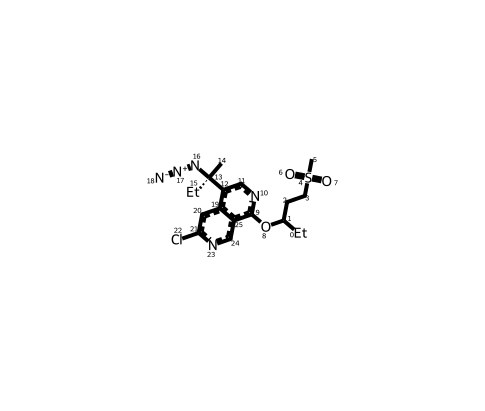 CCC(CCS(C)(=O)=O)Oc1ncc([C@@](C)(CC)N=[N+]=[N-])c2cc(Cl)ncc12